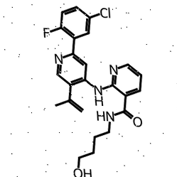 C=C(C)c1cnc(-c2cc(Cl)ccc2F)cc1Nc1ncccc1C(=O)NCCCCO